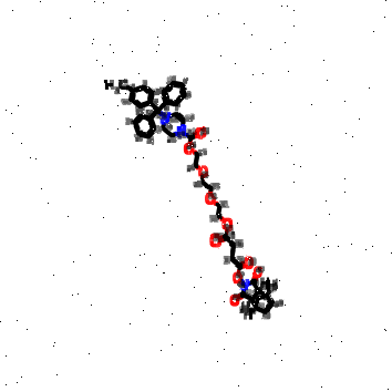 Cc1ccc(C(c2ccccc2)(c2ccccc2)N2CCN(C(=O)OCCOCCOCCOC(=O)CCC(=O)ON3C(=O)[C@@H]4[C@H](C3=O)[C@@H]3C=C[C@H]4C3)CC2)cc1